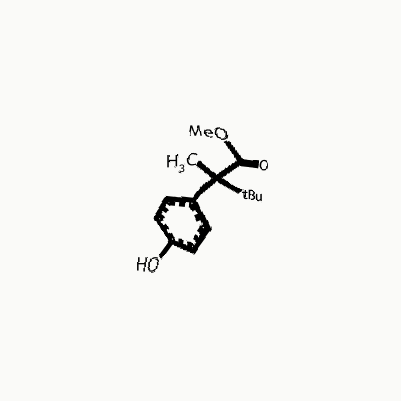 COC(=O)C(C)(c1ccc(O)cc1)C(C)(C)C